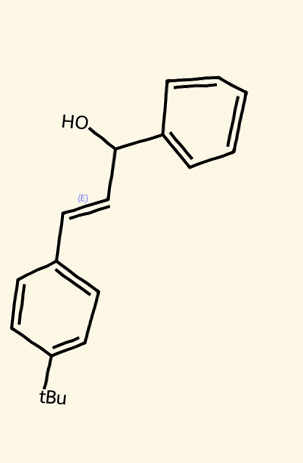 CC(C)(C)c1ccc(/C=C/C(O)c2ccccc2)cc1